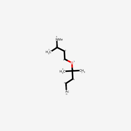 CNC(C)CCOC(C)(C)CCC(C)=O